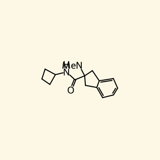 CNC1(C(=O)NC2CCC2)Cc2ccccc2C1